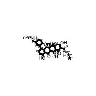 CCCNCc1ccc(OC)c(-c2ccc(O)c3c2C[C@H]2C[C@H]4CC(O)=C(C(=O)NN=[N+]=[N-])C(=O)[C@@]4(O)C(I)=C2C3=O)c1